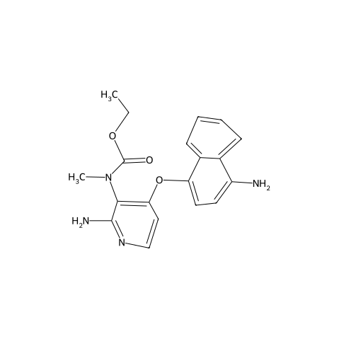 CCOC(=O)N(C)c1c(Oc2ccc(N)c3ccccc23)ccnc1N